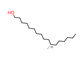 CCCCCC[C@H](C)CCCCCCCCCCO